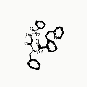 O=C(N[C@@H](Cc1ccccc1)C(=O)CNS(=O)(=O)c1ccccc1)c1ccccc1C=Cc1ccccn1